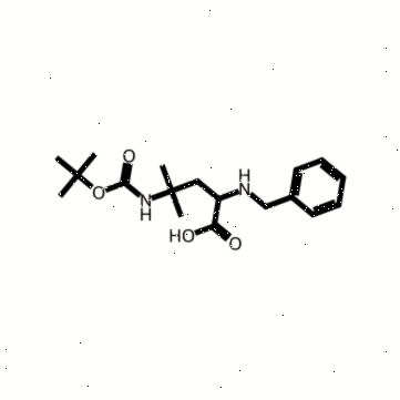 CC(C)(CC(NCc1ccccc1)C(=O)O)NC(=O)OC(C)(C)C